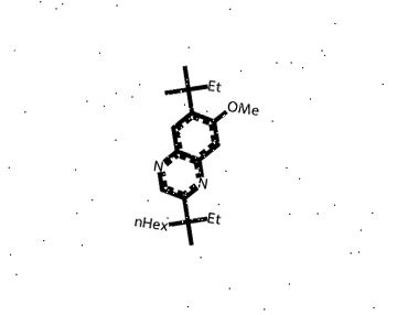 CCCCCCC(C)(CC)c1cnc2cc(C(C)(C)CC)c(OC)cc2n1